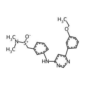 CCOc1cccc(-c2cc(Nc3cccc(C[S+]([O-])N(C)C)c3)ncn2)c1